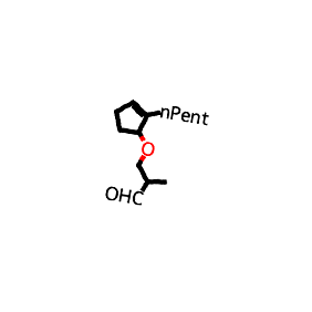 CCCCCC1=CCCC1OCC(C)C=O